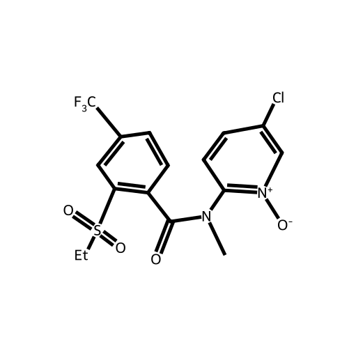 CCS(=O)(=O)c1cc(C(F)(F)F)ccc1C(=O)N(C)c1ccc(Cl)c[n+]1[O-]